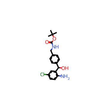 CC(C)(C)OC(=O)NCc1ccc(C(O)c2cc(Cl)ccc2N)cc1